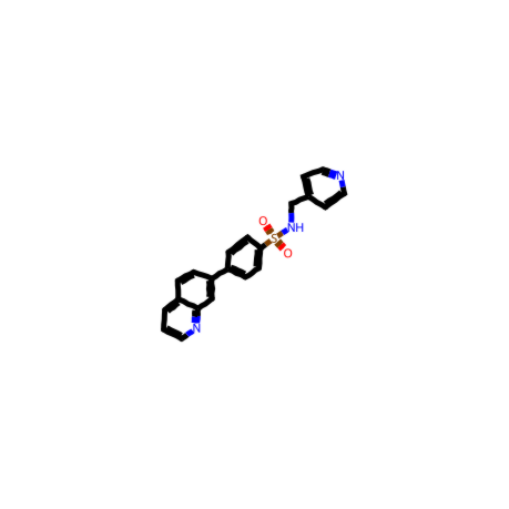 O=S(=O)(NCc1ccncc1)c1ccc(-c2ccc3cccnc3c2)cc1